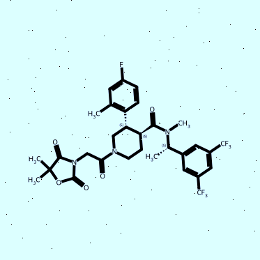 Cc1cc(F)ccc1[C@H]1CN(C(=O)CN2C(=O)OC(C)(C)C2=O)CC[C@@H]1C(=O)N(C)[C@@H](C)c1cc(C(F)(F)F)cc(C(F)(F)F)c1